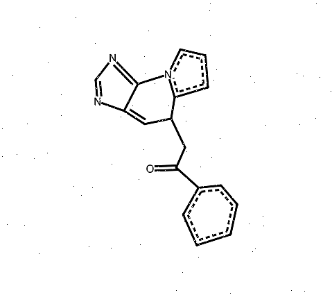 O=C(CC1C=C2N=CN=C2n2cccc21)c1ccccc1